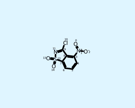 O=[N+]([O-])c1cccc2c1C(Cl)=NS2(=O)=O